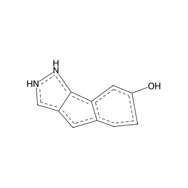 Oc1ccc2cc3c[nH][nH]c-3c2c1